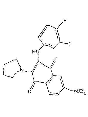 O=C1C(Nc2ccc(F)c(F)c2)=C(N2CCCC2)C(=O)c2ccc([N+](=O)[O-])cc21